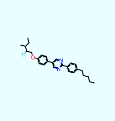 CCCCCc1ccc(-c2ncc(-c3ccc(OCC(F)C(C)CC)cc3)cn2)cc1